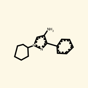 Nc1cn(C2CCCCC2)nc1-c1ccccc1